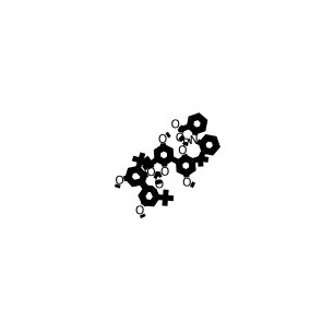 COc1cc(-c2cc(OC)cc3c2OP2OC(=O)c4ccccc4N2c2ccccc2C3(C)C)c(Op2oc3c(C(C)(C)C)cc(OC)cc3c3cc(OC)cc(C(C)(C)C)c3o2)c(C(C)(C)C)c1